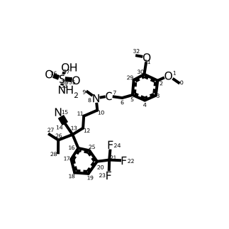 COc1ccc(CCN(C)CCCC(C#N)(c2cccc(C(F)(F)F)c2)C(C)C)cc1OC.NS(=O)(=O)O